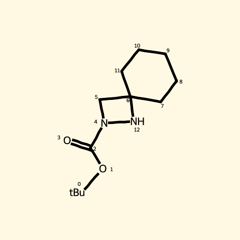 CC(C)(C)OC(=O)N1CC2(CCCCC2)N1